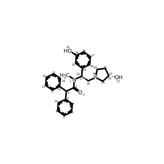 CN(C(=O)C(c1ccccc1)c1ccccc1)[C@H](CN1CC[C@H](O)C1)c1cccc(O)c1